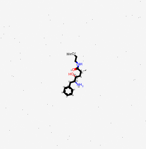 COCCNC(=O)[C@H](C)C[C@H](O)[C@@H](N)Cc1ccccc1